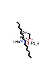 CCCCCCCCCCCCCC.CCCCCCCCCCCCOS(=O)(=O)O.N.O=S(=O)(O)O.[NaH]